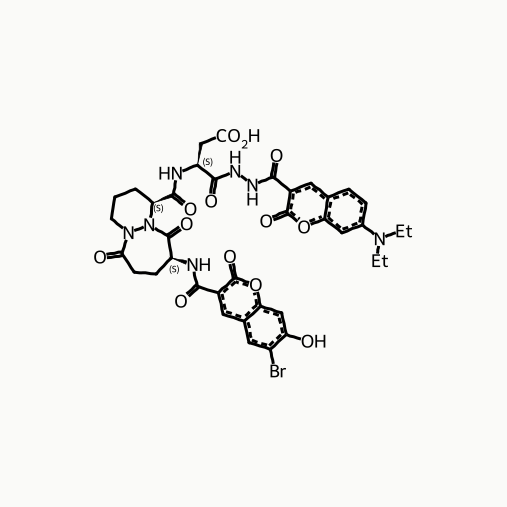 CCN(CC)c1ccc2cc(C(=O)NNC(=O)[C@H](CC(=O)O)NC(=O)[C@@H]3CCCN4C(=O)CC[C@H](NC(=O)c5cc6cc(Br)c(O)cc6oc5=O)C(=O)N34)c(=O)oc2c1